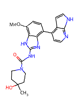 COc1ccc(-c2ccnc3[nH]ccc23)c2nc(NC(=O)N3CCC(C)(O)CC3)[nH]c12